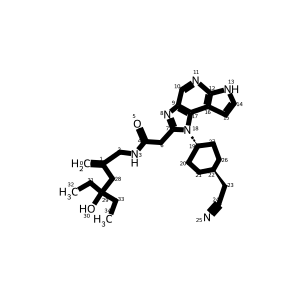 C=C(CNC(=O)Cc1nc2cnc3[nH]ccc3c2n1[C@H]1CC[C@H](CC#N)CC1)CC(O)(CC)CC